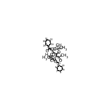 CC(OC(=O)c1ccccc1)C(O[Si](C)(C)C)C(O[Si](C)(C)C)C(C)OC(=O)c1ccccc1